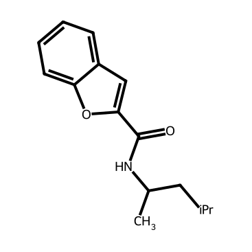 CC(C)CC(C)NC(=O)c1cc2ccccc2o1